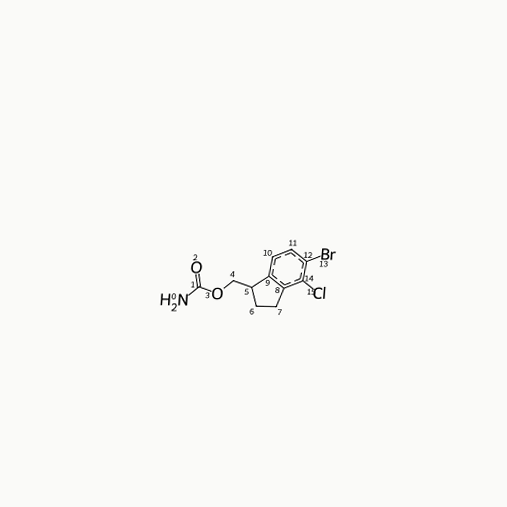 NC(=O)OCC1CCc2c1ccc(Br)c2Cl